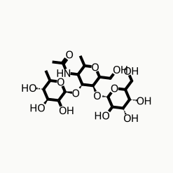 CC(=O)NC1C(C)OC(CO)[C@@H](O[C@@H]2OC(CO)[C@H](O)[C@H](O)C2O)[C@@H]1O[C@@H]1OC(C)[C@@H](O)[C@H](O)C1O